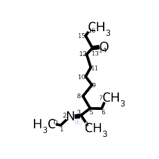 CC/N=C(\C)C(CC)CCCCCC(=O)CC